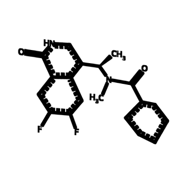 C[C@H](c1c[nH]c(=O)c2cc(F)c(F)cc12)N(C)C(=O)c1ccccc1